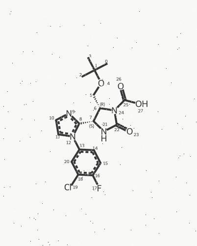 CC(C)(C)OC[C@H]1[C@@H](c2nccn2-c2ccc(F)c(Cl)c2)NC(=O)N1C(=O)O